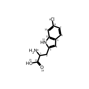 NC(Cc1cc2ccc(Cl)cc2[nH]1)C(=O)O